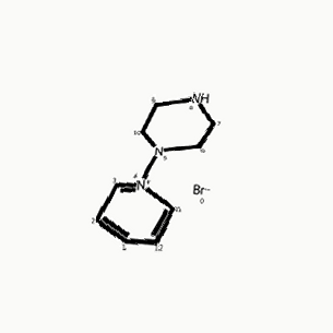 [Br-].c1cc[n+](N2CCNCC2)cc1